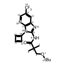 CC(C)(C)OCC(C)(C)C(=O)Nc1nc2cc(C(F)(F)F)cnc2n1C1=CC=C1